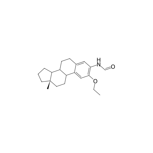 CCOc1cc2c(cc1NC=O)CCC1C2CC[C@]2(C)CCCC12